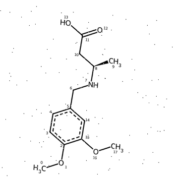 COc1ccc(CN[C@H](C)CC(=O)O)cc1OC